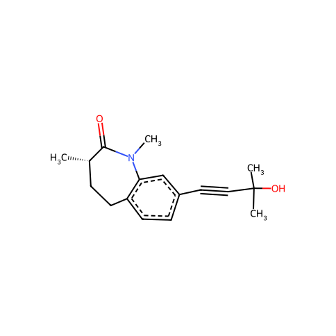 C[C@H]1CCc2ccc(C#CC(C)(C)O)cc2N(C)C1=O